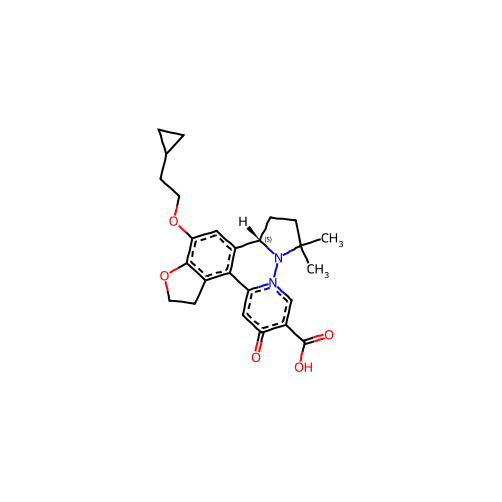 CC1(C)CC[C@H]2c3cc(OCCC4CC4)c4c(c3-c3cc(=O)c(C(=O)O)cn3N21)CCO4